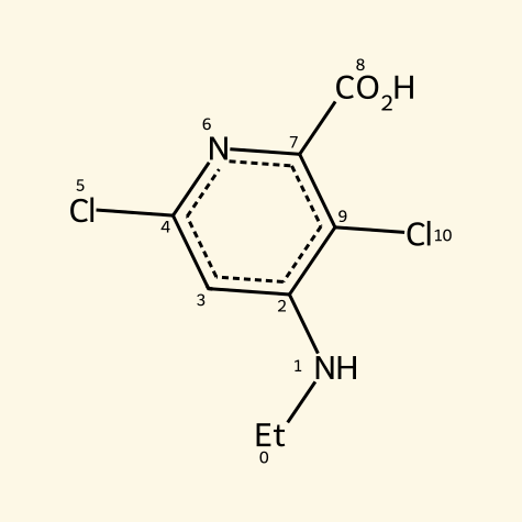 CCNc1cc(Cl)nc(C(=O)O)c1Cl